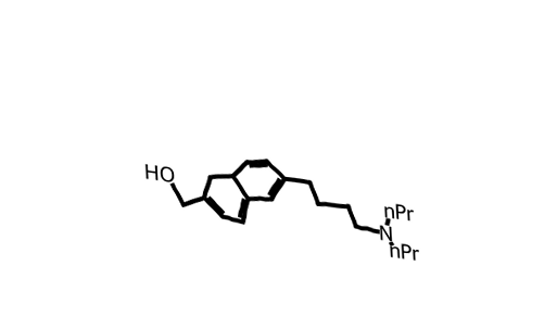 CCCN(CCC)CCCCC1=CC2=CC=C(CO)CC2C=C1